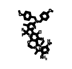 CNc1cnc(N)c(C(C)N2C=COc3cc(-c4nc(N(Cc5ccc(OC)cc5)Cc5ccc(OC)cc5)cc(C)c4C(F)(F)F)c(Cl)c4c3=C2NCN=4)c1